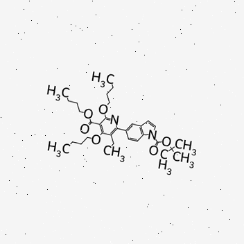 CCCCOC(=O)c1c(OCCCC)nc(-c2ccc3c(ccn3C(=O)OC(C)(C)C)c2)c(CC)c1OCCCC